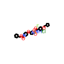 O=C(NS(=O)(=O)N1CCC(OC2CCN(C(=O)OCc3ccccc3)CC2)C1)c1cc(Cl)c(OCC2CCCC2)cc1F